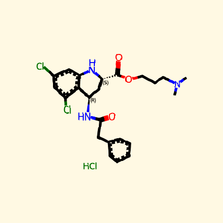 CN(C)CCCOC(=O)[C@@H]1C[C@@H](NC(=O)Cc2ccccc2)c2c(Cl)cc(Cl)cc2N1.Cl